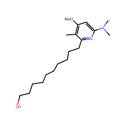 COc1cc(N(C)C)nc(CCCCCCCCCCO)c1C